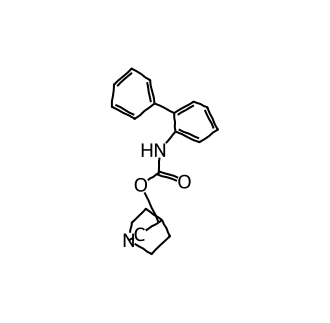 O=C(Nc1ccccc1-c1ccccc1)OC1CN2CCC1CC2